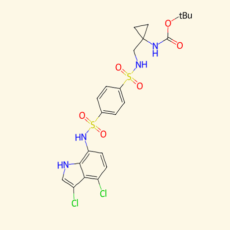 CC(C)(C)OC(=O)NC1(CNS(=O)(=O)c2ccc(S(=O)(=O)Nc3ccc(Cl)c4c(Cl)c[nH]c34)cc2)CC1